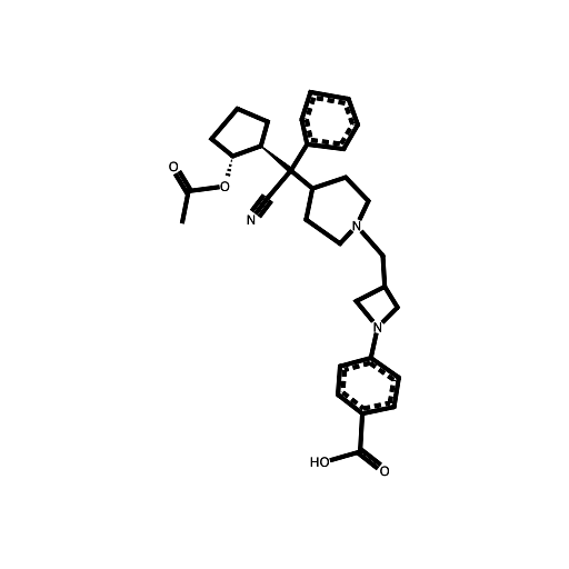 CC(=O)O[C@@H]1CCC[C@H]1C(C#N)(c1ccccc1)C1CCN(CC2CN(c3ccc(C(=O)O)cc3)C2)CC1